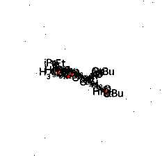 CC[C@H](CC[C@@H](C)C1CCC2C3CC=C4CC(OC(=O)CCCC(=O)N(CCCCCCCCNC(=O)OC(C)(C)C)CCCNC(=O)OC(C)(C)C)CCC4(C)C3CCC21C)C(C)C